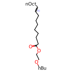 CCCCCCCC/C=C/CCCCCCCC(=O)OCCOCCCC